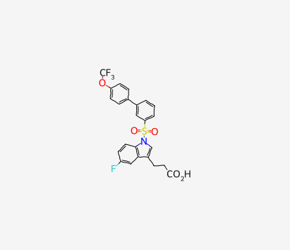 O=C(O)CCc1cn(S(=O)(=O)c2cccc(-c3ccc(OC(F)(F)F)cc3)c2)c2ccc(F)cc12